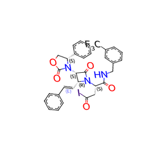 O=C(I)C[C@@H](C(=O)NCc1cccc(C(F)(F)F)c1)N1C(=O)[C@@H](N2C(=O)OC[C@@H]2c2ccccc2)[C@H]1/C=C/c1ccccc1